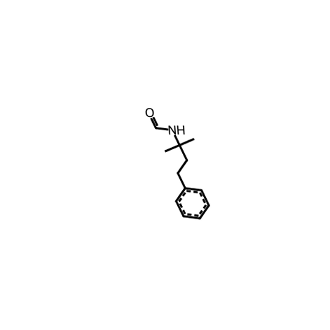 CC(C)(CCc1ccccc1)NC=O